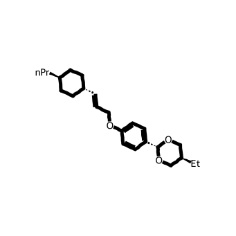 CCC[C@H]1CC[C@H](C=CCOc2ccc([C@H]3OC[C@H](CC)CO3)cc2)CC1